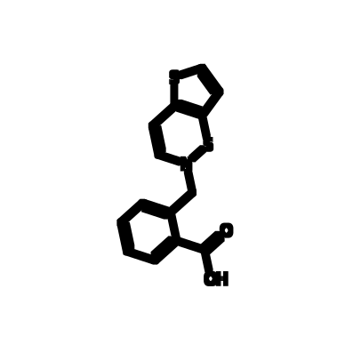 O=C(O)c1ccccc1CN1C=Cc2sccc2S1